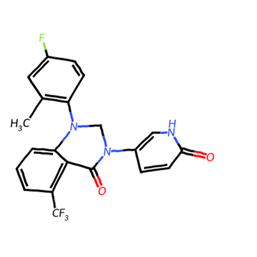 Cc1cc(F)ccc1N1CN(c2ccc(=O)[nH]c2)C(=O)c2c1cccc2C(F)(F)F